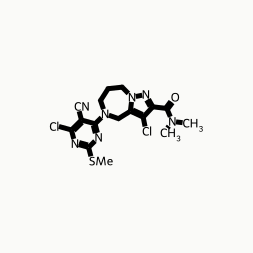 CSc1nc(Cl)c(C#N)c(N2CCCn3nc(C(=O)N(C)C)c(Cl)c3C2)n1